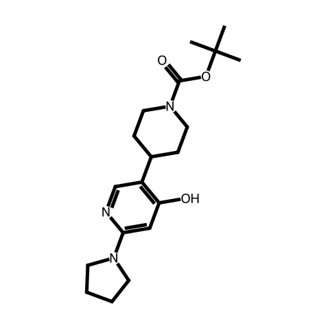 CC(C)(C)OC(=O)N1CCC(c2cnc(N3CCCC3)cc2O)CC1